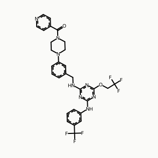 O=C(c1ccncc1)N1CCN(c2cccc(CNc3nc(Nc4cccc(C(F)(F)F)c4)nc(OCC(F)(F)F)n3)c2)CC1